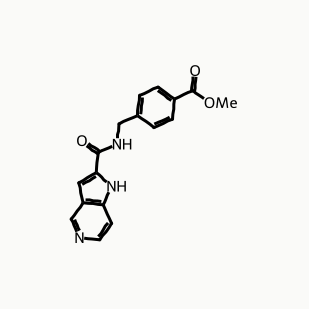 COC(=O)c1ccc(CNC(=O)c2cc3cnccc3[nH]2)cc1